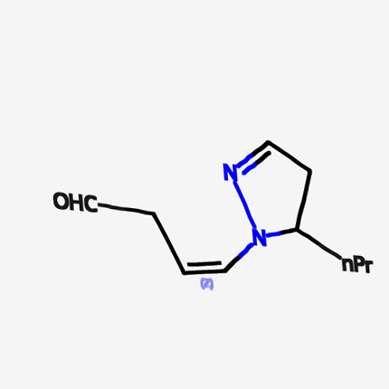 CCCC1CC=NN1/C=C\CC=O